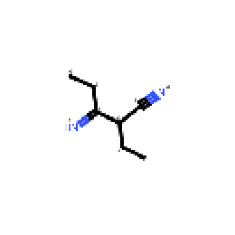 CCC(=N)C(C#N)CC